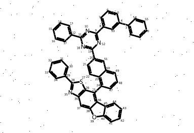 c1ccc(-c2cccc(-c3nc(-c4ccccc4)nc(-c4ccc5c(-c6c7sc(-c8ccccc8)nc7cc7oc8ccccc8c67)cccc5c4)n3)c2)cc1